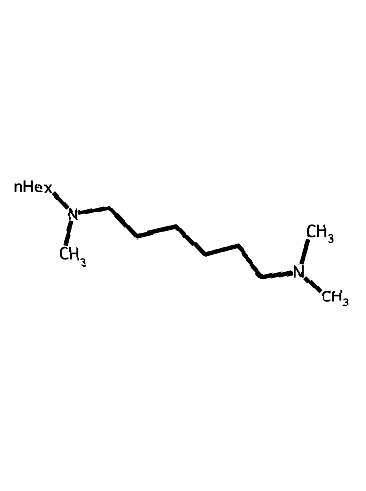 CCCCCCN(C)CCCCCCN(C)C